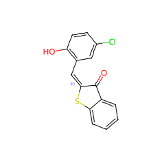 O=C1/C(=C\c2cc(Cl)ccc2O)Sc2ccccc21